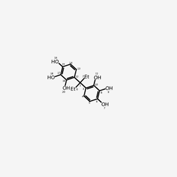 CCC(CC)(c1ccc(O)c(O)c1O)c1ccc(O)c(O)c1O